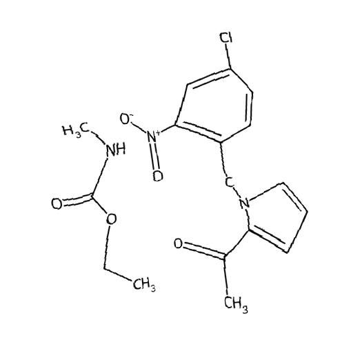 CC(=O)c1cccn1Cc1ccc(Cl)cc1[N+](=O)[O-].CCOC(=O)NC